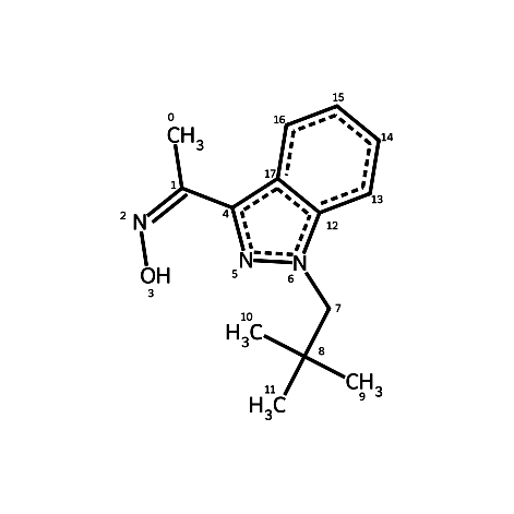 C/C(=N/O)c1nn(CC(C)(C)C)c2ccccc12